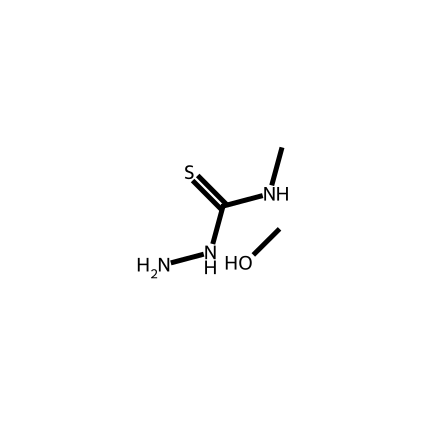 CNC(=S)NN.CO